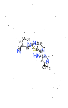 Cc1cc(Nc2nccc3nc(N4CCCC(C#N)C4)sc23)ncn1